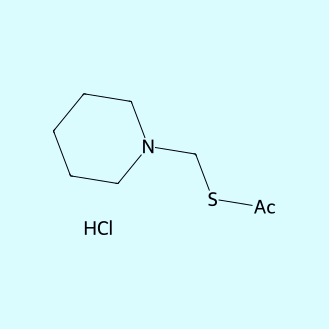 CC(=O)SCN1CCCCC1.Cl